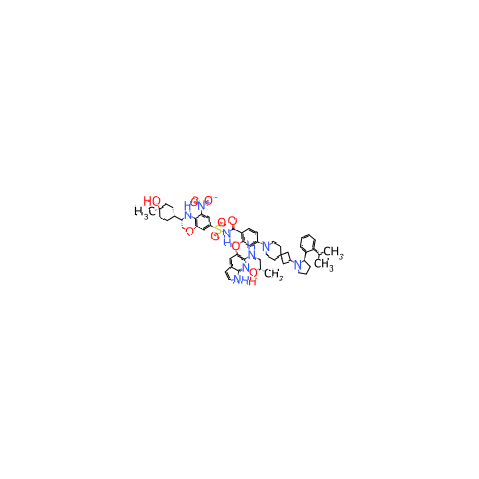 CC(C)c1ccccc1[C@H]1CCCN1C1CC2(CCN(c3ccc(C(=O)NS(=O)(=O)c4cc5c(c([N+](=O)[O-])c4)N[C@@H]([C@H]4CC[C@](C)(O)CC4)CO5)c(Oc4cc5cc[nH]c5nc4NC[C@H](C)O)c3)CC2)C1